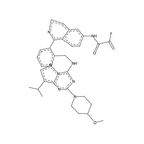 C=C(F)C(=O)Nc1ccc2c(-c3ccccc3CNc3nc(N4CCC(OC)CC4)nc4c(C(C)C)cnn34)nccc2c1